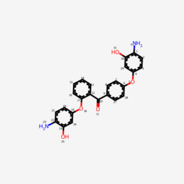 Nc1ccc(Oc2ccc(C(=O)c3ccccc3Oc3ccc(N)c(O)c3)cc2)cc1O